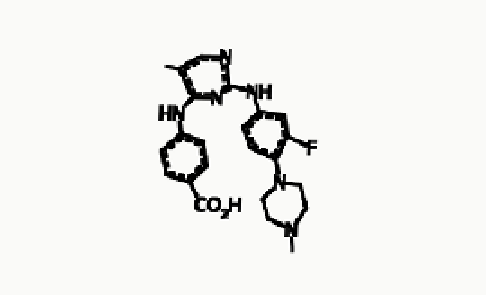 Cc1cnc(Nc2ccc(N3CCN(C)CC3)c(F)c2)nc1Nc1ccc(C(=O)O)cc1